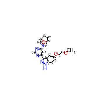 COCCOc1ccc2[nH]nc(-c3cc(N4CC5CCC(C4)O5)ncn3)c2c1